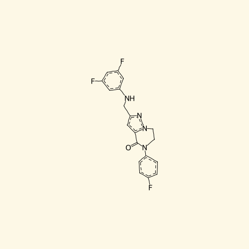 O=C1c2cc(CNc3cc(F)cc(F)c3)nn2CCN1c1ccc(F)cc1